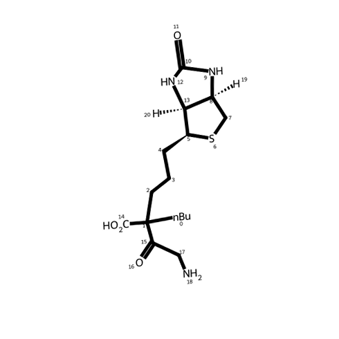 CCCCC(CCC[C@@H]1SC[C@@H]2NC(=O)N[C@@H]21)(C(=O)O)C(=O)CN